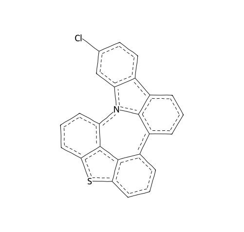 Clc1ccc2c3cccc4c5cccc6sc7cccc(c7c65)n(c2c1)c43